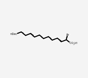 CCCCCCCCCCCCCCCCCCCCC(Br)C(=O)OCC